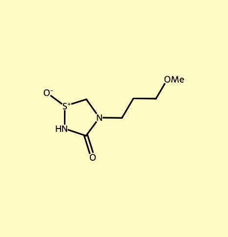 COCCCN1C[S+]([O-])NC1=O